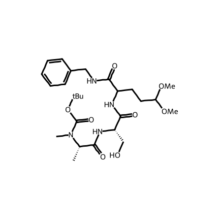 COC(CCC(NC(=O)[C@H](CO)NC(=O)[C@H](C)N(C)C(=O)OC(C)(C)C)C(=O)NCc1ccccc1)OC